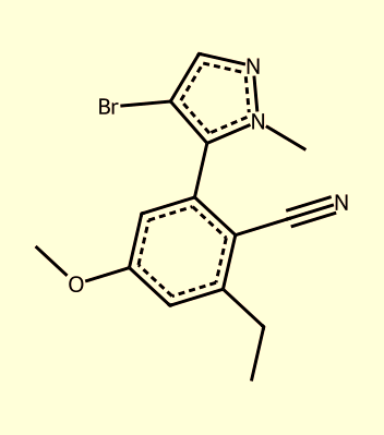 CCc1cc(OC)cc(-c2c(Br)cnn2C)c1C#N